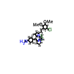 COc1cc(Cl)cc(/C=C/c2cc(C)c3n2[B-](F)(F)[N+]2=CC=CC2=C3c2ccc(N)cc2)c1OC